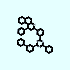 c1ccc(-c2cccc(-c3nc(-c4ccccc4)nc(-c4cccc(-c5cc(-c6ccccc6)c6c(ccc7ccccc76)n5)c4)n3)c2)cc1